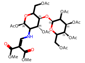 COC(=O)C(=CNC1[C@@H](OC(C)=O)OC(COC(C)=O)[C@@H](O[C@@H]2OC(COC(C)=O)[C@H](OC(C)=O)[C@H](OC(C)=O)C2OC(C)=O)[C@@H]1OC(C)=O)C(=O)OC